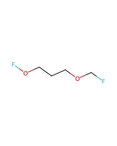 FCOCCCOF